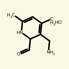 CC1=CC(C)=C(CN)C(C=O)N1.Cl